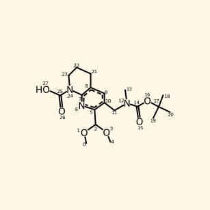 COC(OC)c1nc2c(cc1CN(C)C(=O)OC(C)(C)C)CCCN2C(=O)O